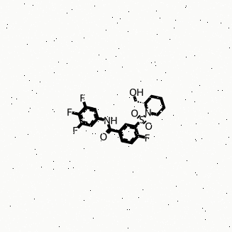 O=C(Nc1cc(F)c(F)c(F)c1)c1ccc(F)c(S(=O)(=O)N2CCCC[C@H]2CO)c1